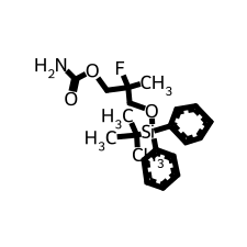 CC(F)(COC(N)=O)CO[Si](c1ccccc1)(c1ccccc1)C(C)(C)C